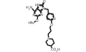 CCCCOc1nc(N)c2[nH]c(=O)n(Cc3ccc(OCCCN4CCC(C(=O)O)CC4)nc3)c2n1